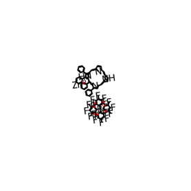 C1=Cc2cc3[nH]c(c(-c4ccccc4)c4nc(cc5ccc(cc1n2)[nH]5)C=C4c1ccccc1)c(-c1ccccc1)c3-c1ccccc1.Fc1c(F)c(F)c([B-](c2c(F)c(F)c(F)c(F)c2F)(c2c(F)c(F)c(F)c(F)c2F)c2c(F)c(F)c(F)c(F)c2F)c(F)c1F.[Zn+2]